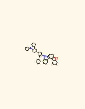 c1ccc(-n2c3ccccc3c3cc(-c4ccc5c(c4)-c4ccccc4-c4cccc(-c6cccc7oc8ccccc8c67)c4N5)ccc32)cc1